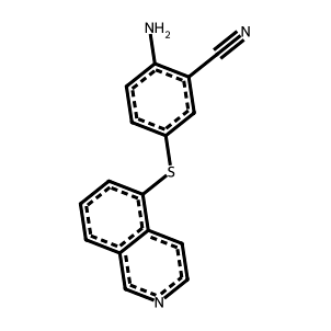 N#Cc1cc(Sc2cccc3cnccc23)ccc1N